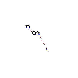 Cc1ccc(NC(=O)c2ccc3nc(NC(=O)CCOCCOCCN)ccc3c2)nc1